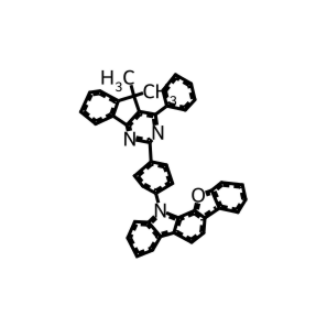 CC1(C)c2ccccc2-c2nc(-c3ccc(-n4c5ccccc5c5ccc6c7ccccc7oc6c54)cc3)nc(-c3ccccc3)c21